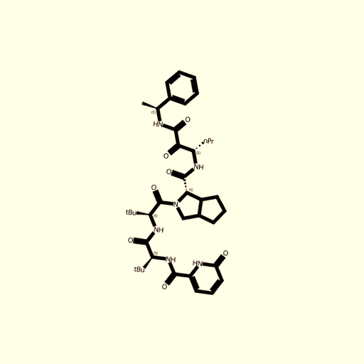 CCC[C@H](NC(=O)[C@@H]1C2CCCC2CN1C(=O)[C@@H](NC(=O)[C@@H](NC(=O)c1cccc(=O)[nH]1)C(C)(C)C)C(C)(C)C)C(=O)C(=O)N[C@@H](C)c1ccccc1